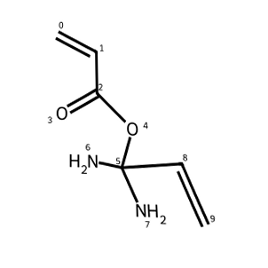 C=CC(=O)OC(N)(N)C=C